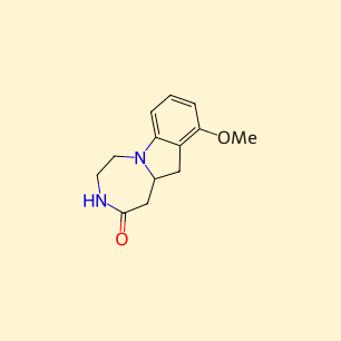 COc1cccc2c1CC1CC(=O)NCCN21